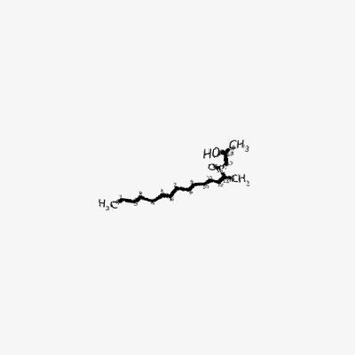 CCCCCCCCCCCCCC(C)[P](=O)CC(C)O